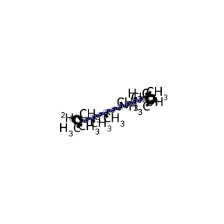 [2H][C@@H]1CC(C)=C(/C=C/C(C)=C/C=C/C(C)=C/C=C/C=C(C)/C=C/C=C(C)/C=C/[C@H]2C(C)=C[C@H]([2H])CC2(C)C)C(C)(C)C1